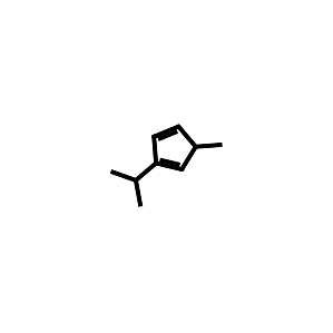 C[C]1C=CC(C(C)C)=C1